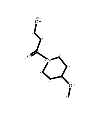 COC1CCN(C(=O)CCO)CC1